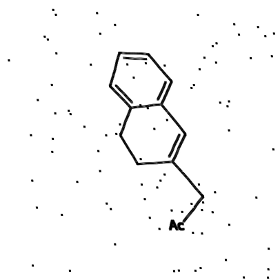 CC(=O)CC1=Cc2ccccc2CC1